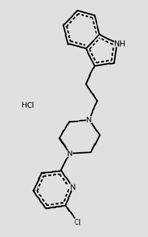 Cl.Clc1cccc(N2CCN(CCc3c[nH]c4ccccc34)CC2)n1